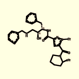 CCCC1CCCCN1C(=O)c1cc(C(=O)N[C@@H](Cc2ccccc2)[C@@H](O)CNCc2ccccc2)nn1CC